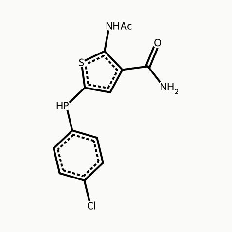 CC(=O)Nc1sc(Pc2ccc(Cl)cc2)cc1C(N)=O